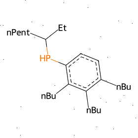 CCCCCC(CC)Pc1ccc(CCCC)c(CCCC)c1CCCC